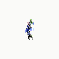 N#Cc1ccc(N2CCc3c(ncnc3Nc3ccc(C(=O)NCC(F)F)nc3)C2)cc1CF